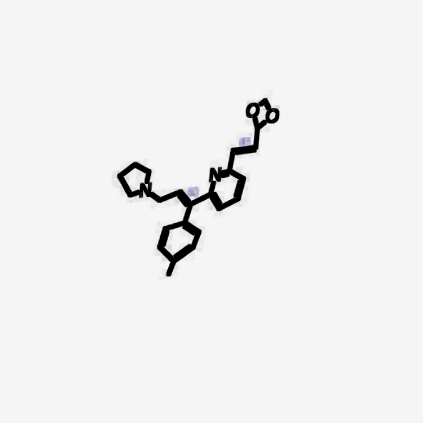 Cc1ccc(/C(=C\CN2CCCC2)c2cccc(/C=C/C3OCO3)n2)cc1